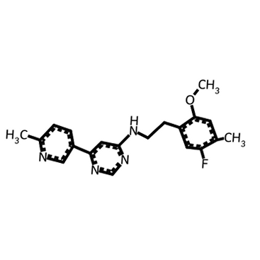 COc1cc(C)c(F)cc1CCNc1cc(-c2ccc(C)nc2)ncn1